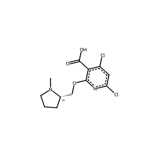 CN1CCC[C@H]1COc1nc(Cl)cc(Cl)c1C(=O)O